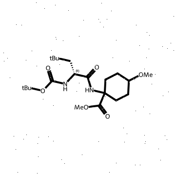 COC(=O)C1(NC(=O)[C@@H](CC(C)(C)C)NC(=O)OC(C)(C)C)CCC(OC)CC1